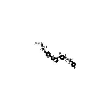 COCCNC(=O)OCc1ccc(-c2cc3nccc(Oc4ccc(NC(=S)NC(=O)Cc5ccc(F)cc5)cc4F)c3s2)nc1